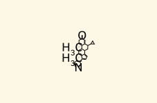 C[C@]12CCC3C(CC(C4CC4)C4=CC(=O)CC[C@@]43C)C1=CC=C2c1cccnc1